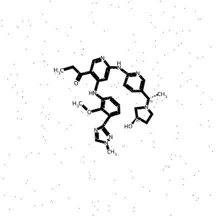 CCC(=O)c1cnc(Nc2ccc([C@H](C)N3CC[C@@H](O)C3)cn2)cc1Nc1cccc(-c2ncn(C)n2)c1OC